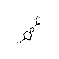 CC(C)(C)OC(=O)N1CC2(CCC(C=O)CC2)C1